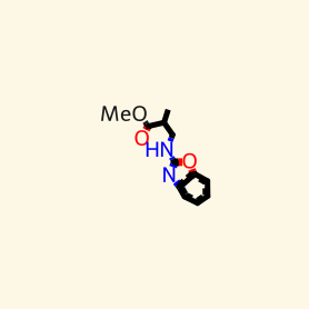 COC(=O)C(C)CNc1nc2ccccc2o1